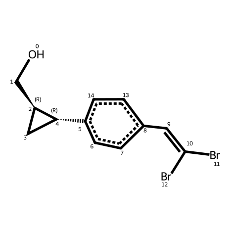 OC[C@@H]1C[C@H]1c1ccc(C=C(Br)Br)cc1